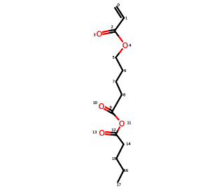 C=CC(=O)OCCCCC(=O)OC(=O)CCCC